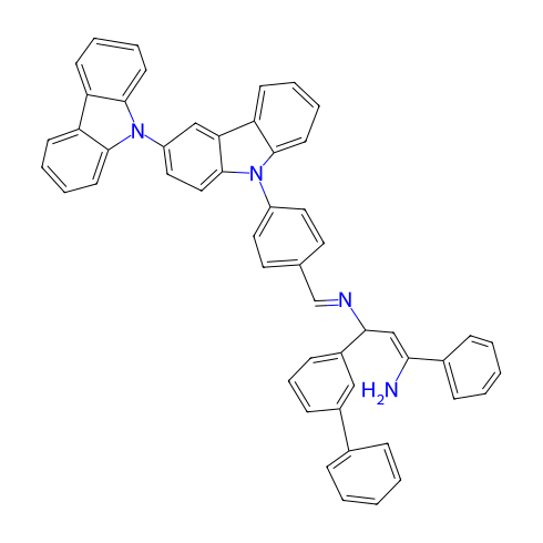 N/C(=C\C(/N=C/c1ccc(-n2c3ccccc3c3cc(-n4c5ccccc5c5ccccc54)ccc32)cc1)c1cccc(-c2ccccc2)c1)c1ccccc1